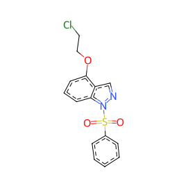 O=S(=O)(c1ccccc1)n1ncc2c(OCCCl)cccc21